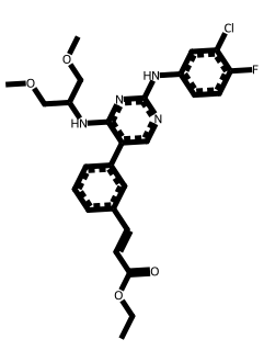 CCOC(=O)/C=C/c1cccc(-c2cnc(Nc3ccc(F)c(Cl)c3)nc2NC(COC)COC)c1